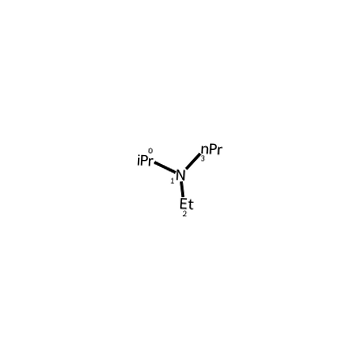 [CH2]C(C)N(CC)CCC